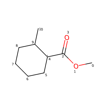 COC(=O)[C]1CCCCC1C